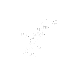 CCN(C)CCc1cc(C)c(Oc2nc(-n3ccc(C(C)(C)C)n3)ns2)cc1C